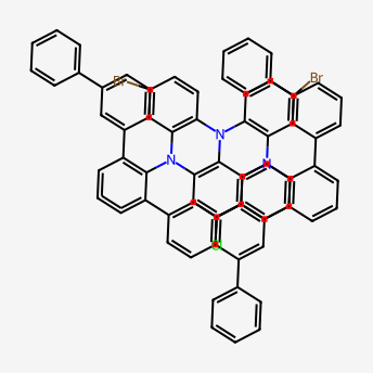 Clc1cc2c3c(c1)N(c1c(-c4cccc(-c5ccccc5)c4)cccc1-c1cccc(-c4ccccc4)c1)c1cc(Br)ccc1N3c1ccc(Br)cc1N2C1=C(c2cccc(-c3ccccc3)c2)C=C=C=C1c1cccc(-c2ccccc2)c1